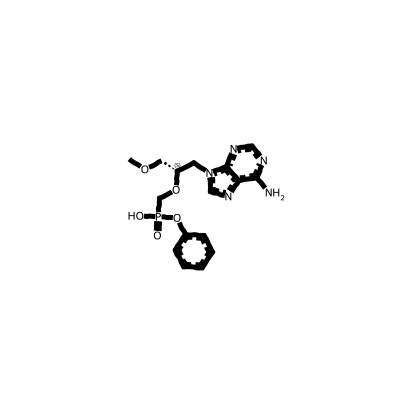 COC[C@H](Cn1cnc2c(N)ncnc21)OCP(=O)(O)Oc1ccccc1